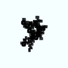 C=CCCCCN(Cc1ccc(OC)cc1)C(=O)N1CC(Oc2cc(-c3nc(C(C)C)cs3)nc3cc(OC)ccc23)CC1C(=O)NC1(C(=O)OCC)CC1C=C